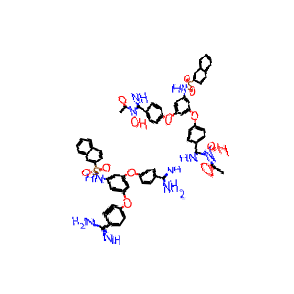 CC(=O)N(O)C(=N)c1ccc(Oc2cc(NS(=O)(=O)c3ccc4ccccc4c3)cc(Oc3ccc(C(=N)N(O)C(C)=O)cc3)c2)cc1.N=C(N)c1ccc(Oc2cc(NS(=O)(=O)c3ccc4ccccc4c3)cc(Oc3ccc(C(=N)N)cc3)c2)cc1